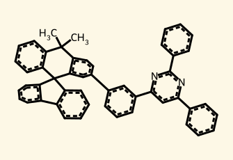 CC1(C)c2ccccc2C2(c3ccccc3-c3ccccc32)c2cc(-c3cccc(-c4cc(-c5ccccc5)nc(-c5ccccc5)n4)c3)ccc21